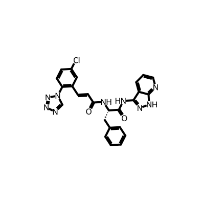 O=C(/C=C/c1cc(Cl)ccc1-n1cnnn1)N[C@@H](Cc1ccccc1)C(=O)Nc1n[nH]c2ncccc12